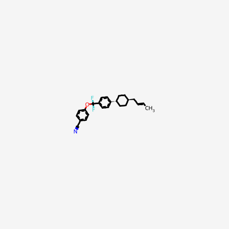 CC=CC[C@H]1CC[C@H](c2ccc(C(F)(F)Oc3ccc(C#N)cc3)cc2)CC1